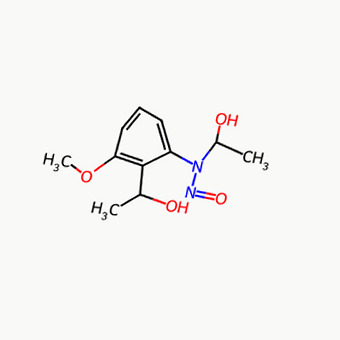 COc1cccc(N(N=O)C(C)O)c1C(C)O